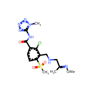 CO/N=C(\C)CNCc1c(S(C)(=O)=O)ccc(C(=O)Nc2nnnn2C)c1Cl